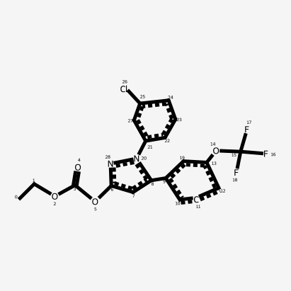 CCOC(=O)Oc1cc(-c2cccc(OC(F)(F)F)c2)n(-c2cccc(Cl)c2)n1